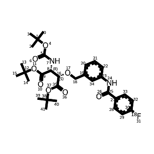 CC(C)(C)OC(=O)N[C@@H](C(=O)OC(C)(C)C)[C@H](OCc1cccc(NC(=O)c2ccc([18F])cc2)c1)C(=O)OC(C)(C)C